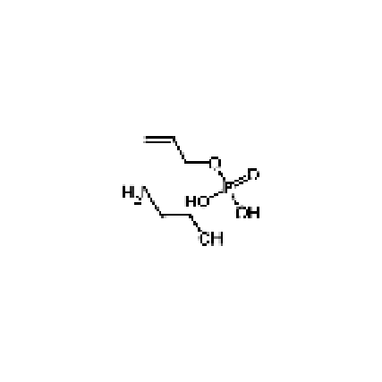 C=CCOP(=O)(O)O.NCCO